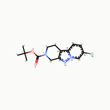 CC(C)(C)OC(=O)N1CCc2c(nn3cc(Cl)ccc23)C1